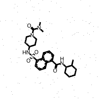 CC1CCCCC1NC(=O)c1cccc2c(S(=O)(=O)NC3CCN(C(=O)N(C)C)CC3)cccc12